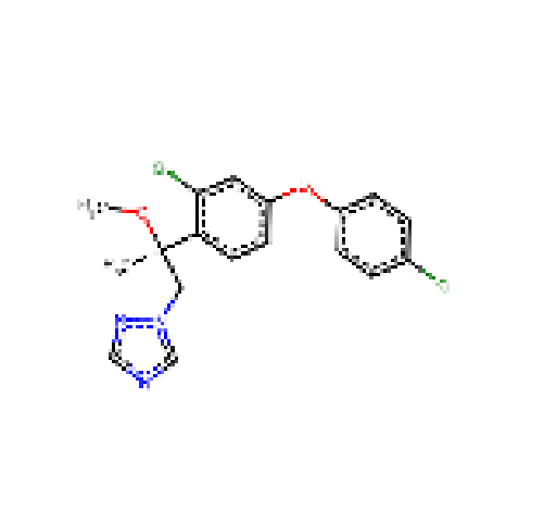 CO[C@](C)(Cn1cncn1)c1ccc(Oc2ccc(Cl)cc2)cc1Cl